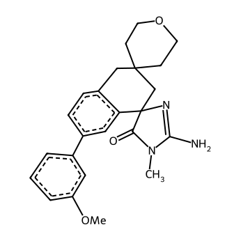 COc1cccc(-c2ccc3c(c2)C2(CC4(CCOCC4)C3)N=C(N)N(C)C2=O)c1